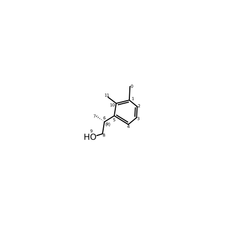 Cc1cccc([C@@H](C)CO)c1C